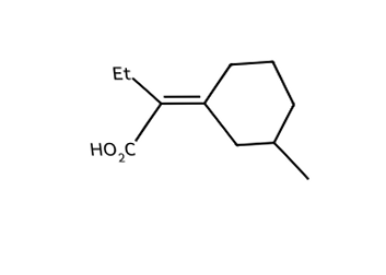 CCC(C(=O)O)=C1CCCC(C)C1